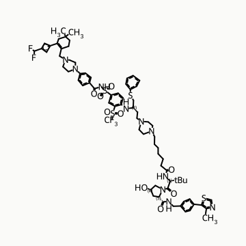 Cc1ncsc1-c1ccc(CNC(=O)[C@@H]2C[C@@H](O)CN2C(=O)[C@@H](NC(=O)CCCCCCN2CCN(CC[C@H](CSc3ccccc3)Nc3ccc(S(=O)(=O)NC(=O)c4ccc(N5CCN(CC6=C(C78CC(C(F)F)(C7)C8)CC(C)(C)CC6)CC5)cc4)cc3S(=O)(=O)C(F)(F)F)CC2)C(C)(C)C)cc1